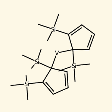 C[Si](C)(C)C1=CC=C[C]1([V][C]1([Si](C)(C)C)C=CC=C1[Si](C)(C)C)[Si](C)(C)C